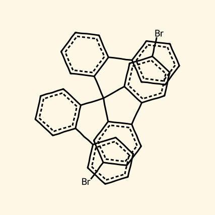 Brc1ccc2c(c1)C(c1ccccc1-c1ccccc1)(c1ccccc1-c1ccccc1)c1cc(Br)ccc1-2